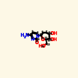 Nc1ccn(C2CC[C@H](O)[C@H](O)[C@@H](CO)O2)c(=O)n1